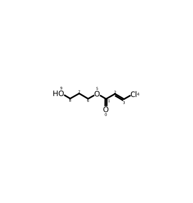 O=C(C=CCl)OCCCO